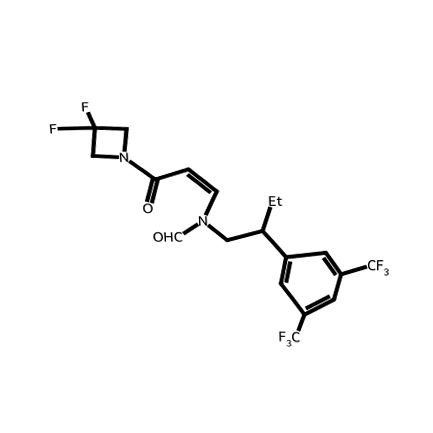 CCC(CN(C=O)/C=C\C(=O)N1CC(F)(F)C1)c1cc(C(F)(F)F)cc(C(F)(F)F)c1